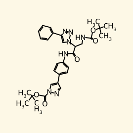 CC(C)(C)OC(=O)NCC(C(=O)Nc1ccc(-c2cnn(C(=O)OC(C)(C)C)c2)cc1)n1cc(-c2ccccc2)nn1